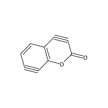 O=c1c#cc2ccc#cc2o1